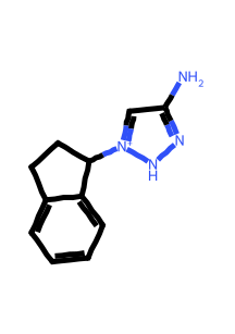 Nc1c[n+](C2CCc3ccccc32)[nH]n1